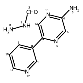 NNC=O.Nc1cnc(-c2cccnc2)cn1